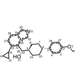 COc1ccc([C@H]2CC[C@H]([C@H](O)c3c(C4CC4)ccc4cncn34)CC2)cc1